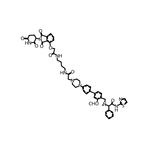 CN(Cc1ccc(-c2ccc(N3CCN(CC(=O)NCCCCNC(=O)COc4cccc5c4C(=O)N(C4CCC(=O)NC4=O)C5=O)CC3)cc2)cc1C=O)C(C(=O)Nc1nccs1)c1ccccc1